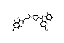 Cc1ccncc1CN(c1ccc(Cl)nc1)C1CCN(C(C)CCNC(=O)c2c(C)cc(Cl)nc2C)CC1